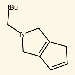 CC(C)(C)CN1CC2=C(CC=C2)C1